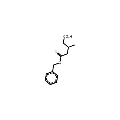 CC(CC(=O)O)CC(=O)OCc1ccccc1